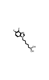 OB(O)CCCCCn1cnc2c(F)c(F)ccc21